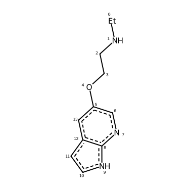 CCNCCOc1cnc2[nH]ccc2c1